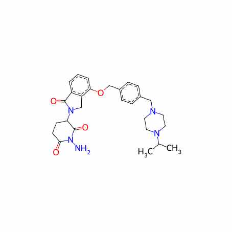 CC(C)N1CCN(Cc2ccc(COc3cccc4c3CN(C3CCC(=O)N(N)C3=O)C4=O)cc2)CC1